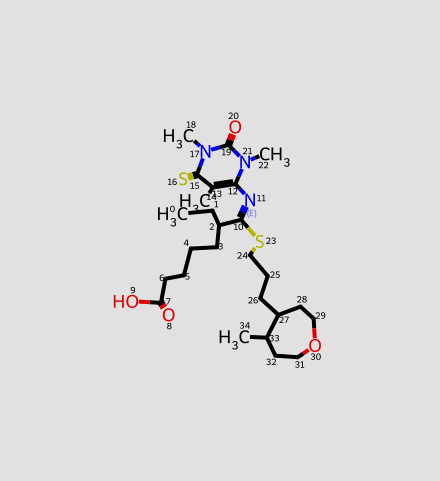 CCC(CCCCC(=O)O)/C(=N\c1c(C)c(=S)n(C)c(=O)n1C)SCCCC1CCOCCC1C